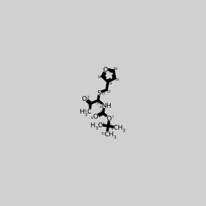 CC(=O)C(NC(=O)OC(C)(C)C)SCc1ccoc1